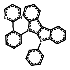 c1ccc(-n2c3ccccc3c3c4ccccc4n(-c4ccccc4-c4ncccn4)c32)cc1